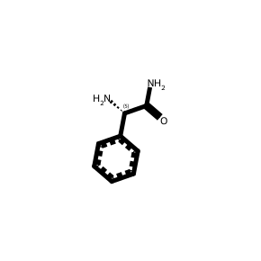 NC(=O)[C@@H](N)c1ccccc1